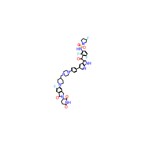 O=C1CC[C@@H](N2Cc3cc(N4CCC(CN5CCN(c6ccc(-c7cnc8[nH]cc(C(=O)c9c(F)ccc(NS(=O)(=O)N%10CC[C@@H](F)C%10)c9F)c8c7)cc6)CC5)CC4)c(F)cc3C2=O)C(=O)N1